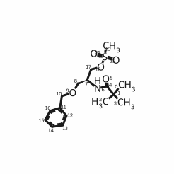 CC(C)(C)C(=O)N[C@@H](COCc1ccccc1)COS(C)(=O)=O